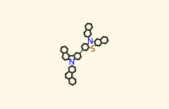 c1ccc2cc(N3c4ccc(-c5ccc6c(c5)c5c7ccccc7ccc5n6-c5ccc6c(ccc7ccccc76)c5)cc4Sc4cc5ccccc5cc43)ccc2c1